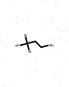 CCCCCCC(Br)(Br)CCC